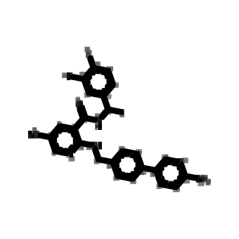 CC(NC(=O)c1cc(C#N)cnc1NCc1ccc(-c2ccc(N)nc2)cc1)c1ccc(F)c(F)c1